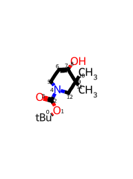 CC(C)(C)OC(=O)N1CC=C(O)C(C)(C)C1